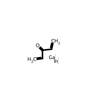 C=CC(=O)C=C.[Ga].[In]